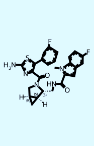 Cn1c(C(=O)NC[C@@H]2[C@H]3C[C@H]3CN2C(=O)c2nc(N)sc2-c2cccc(F)c2)cc2cc(F)ccc21